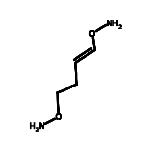 NO/C=C/CCON